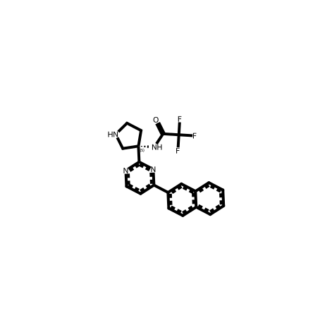 O=C(N[C@@]1(c2nccc(-c3ccc4ccccc4c3)n2)CCNC1)C(F)(F)F